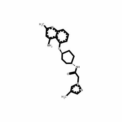 Cc1cnn(CC(=O)N[C@H]2CC[C@H](Oc3cccc4nc(C)cc(N)c34)CC2)c1